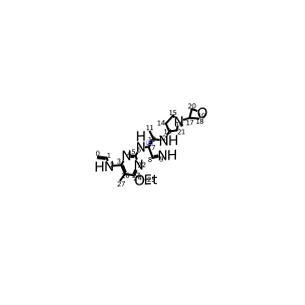 C=CNc1nc(N/C(C=N)=C(\C)NC2CCN(C3COC3)C2)nc(OCC)c1C